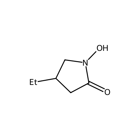 CCC1CC(=O)N(O)C1